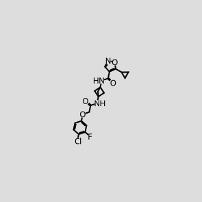 O=C(COc1ccc(Cl)c(F)c1)NC12CC(NC(=O)c3cnoc3C3CC3)(C1)C2